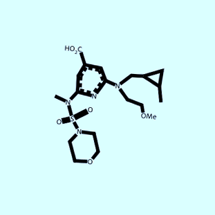 COCCN(CC1CC1C)c1cc(C(=O)O)cc(N(C)S(=O)(=O)N2CCOCC2)n1